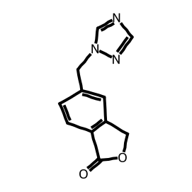 O=C1OCc2cc(Cn3cncn3)ccc21